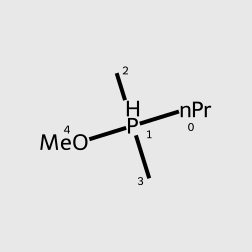 CCC[PH](C)(C)OC